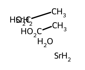 CC(=O)O.CC(=O)O.O.[SrH2].[SrH2]